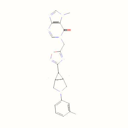 Cn1cnc2ncn(Cc3nc(C4[C@H]5CN(c6cccc(C(F)(F)F)c6)C[C@@H]45)no3)c(=O)c21